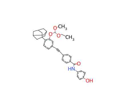 CCOC(OC)Oc1cc(C#Cc2ccc(C(=O)Nc3ccc(O)cc3)cc2)ccc1C12CC3CC(CC(C3)C1)C2